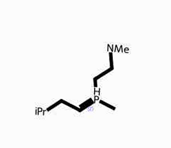 CNCC/[PH](C)=C\CC(C)C